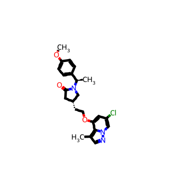 COc1ccc([C@@H](C)N2C[C@H](CCOc3cc(Cl)cn4ncc(C)c34)CC2=O)cc1